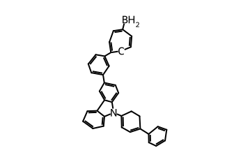 BC1=CC=C(c2cccc(-c3ccc4c(c3)c3ccccc3n4C3=CC=C(c4ccccc4)CC3)c2)CC=C1